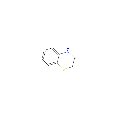 [C]1CSc2ccccc2N1